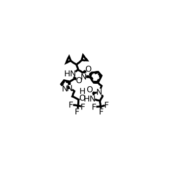 O=C(NC(c1nc2cc(CN3CC(C(F)(F)F)NC3=O)ccc2o1)C(C1CC1)C1CC1)c1ccnn1CC[C@H](O)C(F)(F)F